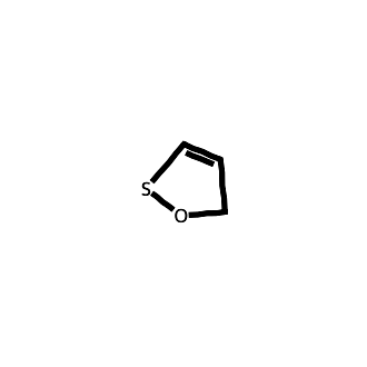 C1=CSOC1